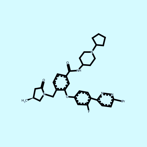 CC(C)c1ccc(-c2ccc(Oc3cc(C(=O)NC4CCN(C5CCCC5)CC4)ccc3CN3C[C@@H](C)CC3=O)cc2F)nn1